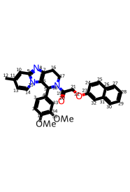 COc1ccc(C2c3c(nc4cc(C)ccn34)CCN2C(=O)COc2ccc3ccccc3c2)cc1OC